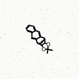 CC1(C)OC2C3C=CC(c4cc5ccccc5cc43)C2O1